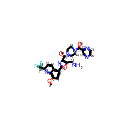 COc1ccc(-c2nc(C(=O)N3CCN(C(=O)c4cnccn4)CC3)c(CN)o2)c2ccc(C(F)(F)F)nc12